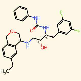 CCc1ccc2c(c1)C(NC[C@@H](O)[C@H](Cc1cc(F)cc(F)c1)NC(=O)Nc1ccccc1)COC2